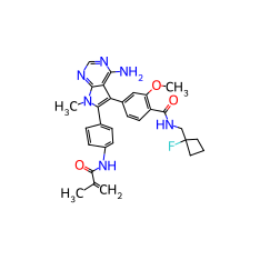 C=C(C)C(=O)Nc1ccc(-c2c(-c3ccc(C(=O)NCC4(F)CCC4)c(OC)c3)c3c(N)ncnc3n2C)cc1